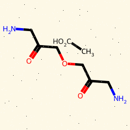 CC(=O)O.NCC(=O)COCC(=O)CN